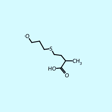 CC(CCSCCC[O])C(=O)O